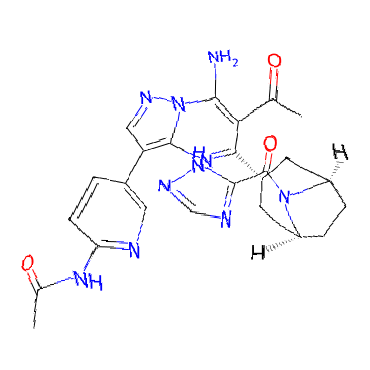 CC(=O)Nc1ccc(-c2cnn3c(N)c(C(C)=O)c([C@@H]4C[C@H]5CC[C@@H](C4)N5C(=O)c4ncn[nH]4)nc23)cn1